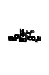 C=CCC(NC(=O)OC(C)(C)C)C(O)C(=O)O